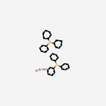 [Br-].[Br-].[Fe+2].c1ccc(P(c2ccccc2)c2ccccc2)cc1.c1ccc(P(c2ccccc2)c2ccccc2)cc1